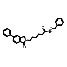 O=C(CCCCCN1Cc2cc(-c3ccccc3)ccc2C1=O)NOCc1ccccc1